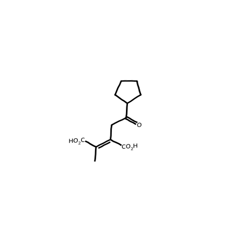 C/C(C(=O)O)=C(/CC(=O)C1CCCC1)C(=O)O